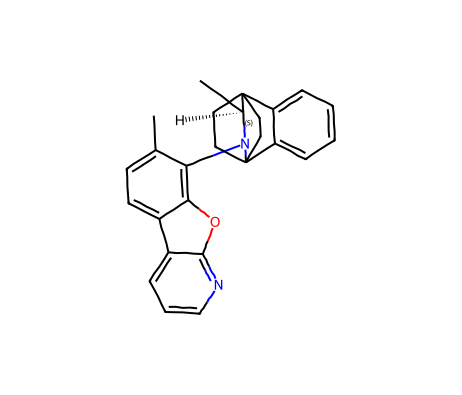 Cc1ccc2c(oc3ncccc32)c1N1[C@@H](C)C23CCC1(CC2)c1ccccc13